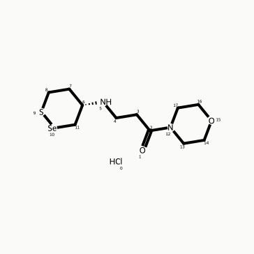 Cl.O=C(CCN[C@H]1CCS[Se]C1)N1CCOCC1